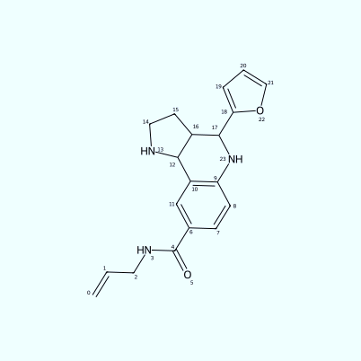 C=CCNC(=O)c1ccc2c(c1)C1NCCC1C(c1ccco1)N2